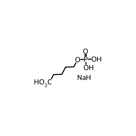 O=C(O)CCCCOP(=O)(O)O.[NaH]